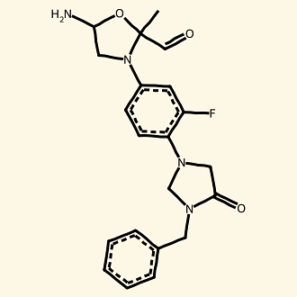 CC1(C=O)OC(N)CN1c1ccc(N2CC(=O)N(Cc3ccccc3)C2)c(F)c1